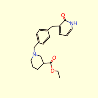 CCOC(=O)C1CCCN(Cc2ccc(Cc3ccc[nH]c3=O)cc2)C1